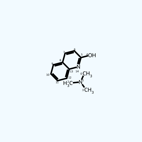 CN(C)C.Oc1ccc2ccccc2n1